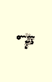 CCCC(NC(=O)[C@@H]1CCCN1C(=O)C(NC(=O)OC(C)(C)C)C(C)(C)C)C(=O)C(=O)NCCCCc1ccccc1